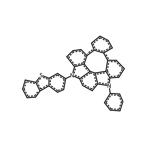 c1ccc(-n2c3cccc4c5ccccc5c5cccc6c5c5c(c43)c2ccc5n6-c2ccc3c(c2)sc2ccccc23)cc1